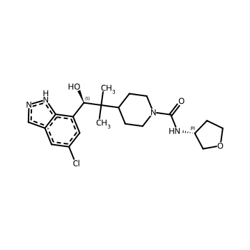 CC(C)(C1CCN(C(=O)N[C@@H]2CCOC2)CC1)[C@H](O)c1cc(Cl)cc2cn[nH]c12